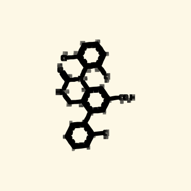 O=C(O)c1cc(-c2ccccc2Cl)c2c(c1)N(c1c(Cl)cccc1Cl)C(=O)NC2